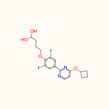 OC(O)CCCOc1c(F)cc(-c2nccc(OC3CCC3)n2)cc1F